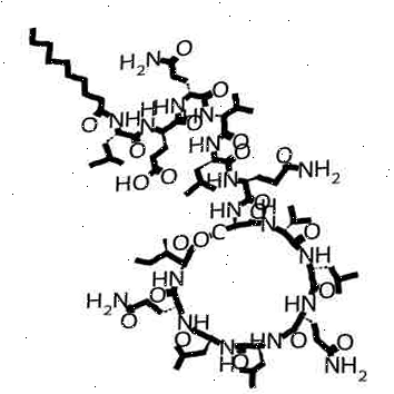 CCCCCCCCCC(=O)N[C@@H](CC(C)C)C(=O)N[C@H](CCC(=O)O)C(=O)N[C@H](CCC(N)=O)C(=O)N[C@@H](C(=O)N[C@H](CC(C)C)C(=O)N[C@@H](CCC(N)=O)C(=O)N[C@@H]1COC(=O)[C@@H]([C@H](C)CC)NC(=O)[C@@H](CCC(N)=O)NC(=O)[C@H](CC(C)C)NC(=O)[C@H](CC(C)C)NC(=O)[C@@H](CCC(N)=O)NC(=O)[C@@H](CC(C)C)NC(=O)[C@@H](C(C)C)NC1=O)C(C)C